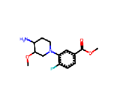 COC(=O)c1ccc(F)c(N2CCC(N)C(OC)C2)c1